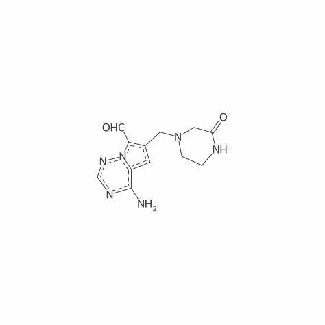 Nc1ncnn2c(C=O)c(CN3CCNC(=O)C3)cc12